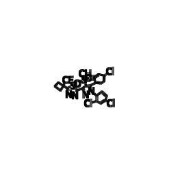 CS(=O)(=O)c1c(-c2nnc(C3(C(F)(F)F)CCC3)s2)nn(-c2ccc(Cl)cc2Cl)c1-c1ccc(Cl)cc1